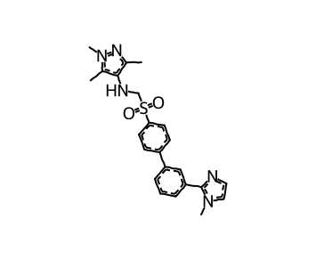 Cc1nn(C)c(C)c1NCS(=O)(=O)c1ccc(-c2cccc(-c3nccn3C)c2)cc1